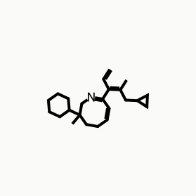 C=CC(=C(\C)CC1CC1)/C1=N/CC(C)(C2CCCCC2)CC/C=C\1